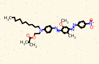 C=C(C)C(=O)OCCN(CCCCCCCCCC)c1ccc(/N=N/c2cc(C)c(/N=N/c3ccc([N+](=O)[O-])cc3)cc2OC)cc1